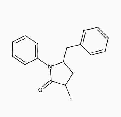 O=C1C(F)CC(Cc2ccccc2)N1c1ccccc1